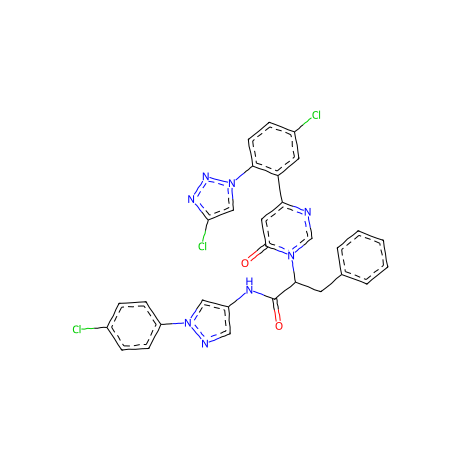 O=C(Nc1cnn(-c2ccc(Cl)cc2)c1)C(Cc1ccccc1)n1cnc(-c2cc(Cl)ccc2-n2cc(Cl)nn2)cc1=O